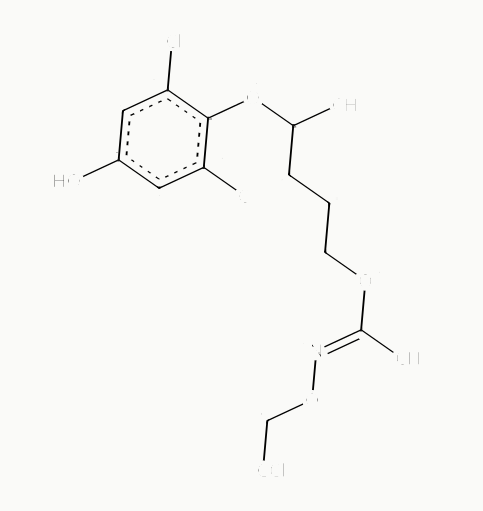 CC(=NOCC(Cl)(Cl)Cl)OCCCC(C)Oc1c(Cl)cc(O)cc1Cl